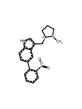 CN1CCC[C@@H]1Cc1c[nH]c2ccc(-c3ccccc3[SH](=O)=O)cc12